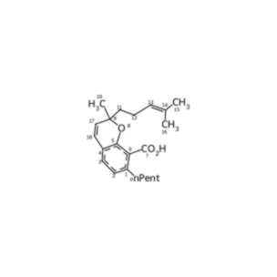 CCCCCc1ccc2c(c1C(=O)O)OC(C)(CCC=C(C)C)C=C2